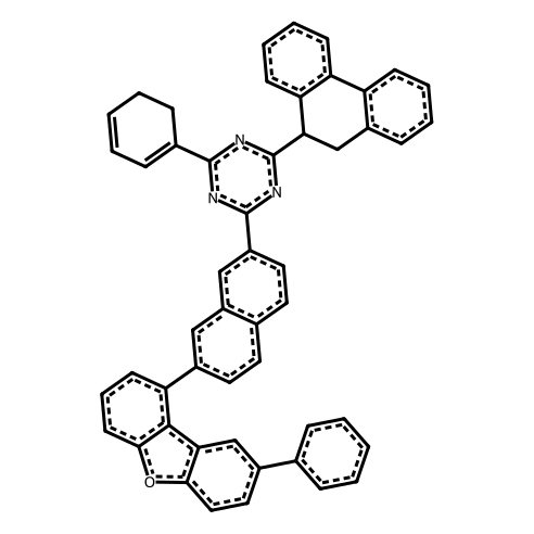 C1=CCCC(c2nc(-c3ccc4ccc(-c5cccc6oc7ccc(-c8ccccc8)cc7c56)cc4c3)nc(C3Cc4ccccc4-c4ccccc43)n2)=C1